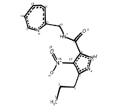 CCCc1n[nH]c(C(=O)NCc2ccccn2)c1[N+](=O)[O-]